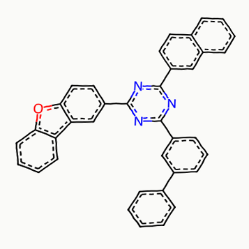 c1ccc(-c2cccc(-c3nc(-c4ccc5ccccc5c4)nc(-c4ccc5oc6ccccc6c5c4)n3)c2)cc1